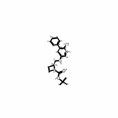 CC(C)(C)OC(=O)N1CC[C@H]1COc1cnc(Cl)c(-c2ccccc2)c1